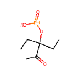 CCC(CC)(O[PH](=O)O)C(C)=O